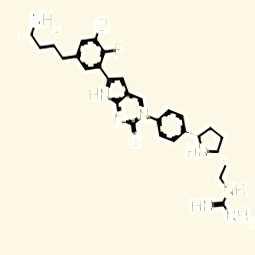 C[C@H](N)CCCc1cc(Cl)c(F)c(-c2cc3cn(-c4ccc([C@H]5CC[C@H](CCNC(=N)N)N5)cc4)c(=O)nc3[nH]2)c1